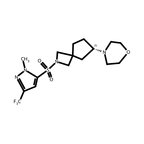 Cn1nc(C(F)(F)F)cc1S(=O)(=O)N1CC2(CC[C@H](N3CCOCC3)C2)C1